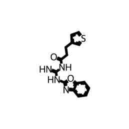 N=C(NC(=O)CCc1ccsc1)Nc1nc2ccccc2o1